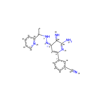 CC(N/N=C1/C=C(c2cccc(C#N)c2)N=C(N)C1=N)c1ccccn1